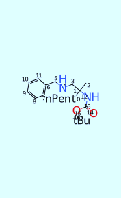 CCCCCC(C)(CNCc1ccccc1)NC(=O)OC(C)(C)C